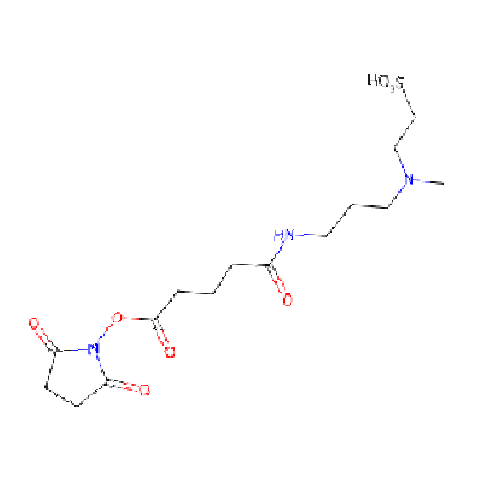 CN(CCCNC(=O)CCCC(=O)ON1C(=O)CCC1=O)CCS(=O)(=O)O